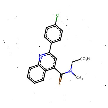 CN(CC(=O)O)C(=S)c1cc(-c2ccc(Cl)cc2)nc2ccccc12